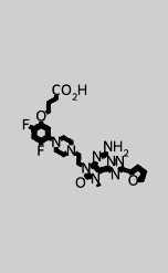 Cn1c(=O)n(CCN2CCN(c3cc(OCCCC(=O)O)c(F)cc3F)CC2)c2nc(N)n3nc(-c4ccco4)nc3c21